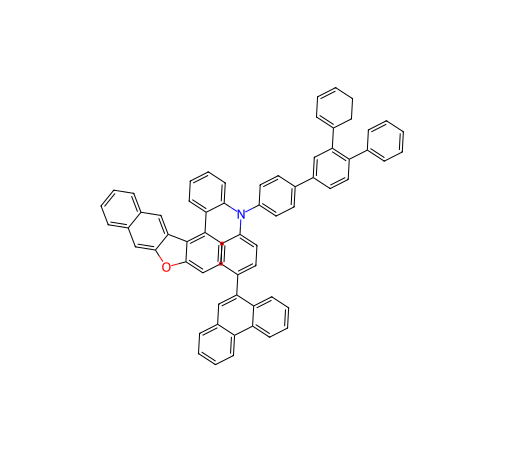 C1=CCCC(c2cc(-c3ccc(N(c4ccc(-c5cc6ccccc6c6ccccc56)cc4)c4ccccc4-c4cccc5oc6cc7ccccc7cc6c45)cc3)ccc2-c2ccccc2)=C1